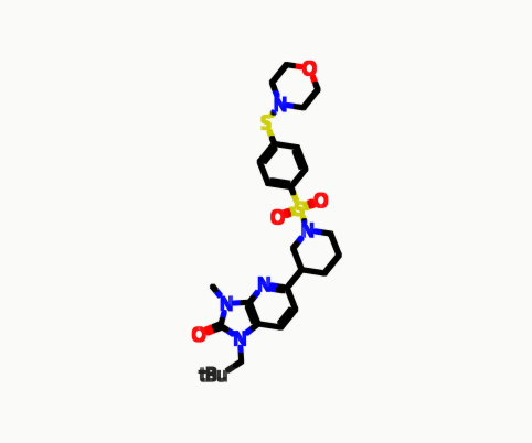 Cn1c(=O)n(CC(C)(C)C)c2ccc(C3CCCN(S(=O)(=O)c4ccc(SN5CCOCC5)cc4)C3)nc21